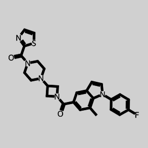 Cc1cc(C(=O)N2CC(N3CCN(C(=O)c4nccs4)CC3)C2)cc2ccn(-c3ccc(F)cc3)c12